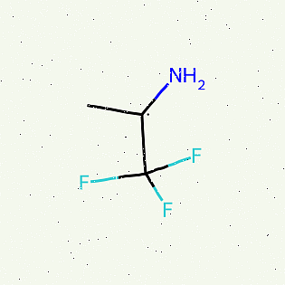 C[C](N)C(F)(F)F